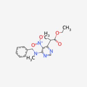 CCOC(=O)C(C)c1ncnc(N(C)Cc2ccccc2)c1[N+](=O)[O-]